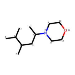 CC(C)C(C)CC(C)N1CCOCC1